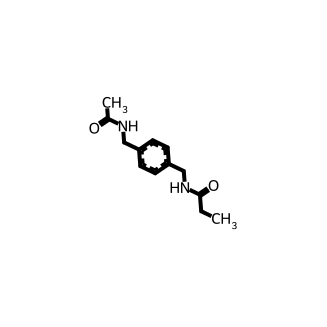 CCC(=O)NCc1ccc(CNC(C)=O)cc1